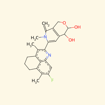 C=C1C2=C(C=C(c3nc4cc(F)c(C)c5c4c(c3C)CCC5)N1C)C(O)C(O)OC2